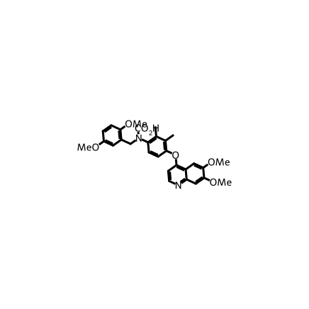 COc1ccc(OC)c(CN(C(=O)O)c2ccc(Oc3ccnc4cc(OC)c(OC)cc34)c(C)c2C)c1